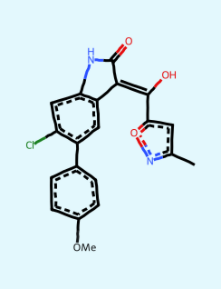 COc1ccc(-c2cc3c(cc2Cl)NC(=O)C3=C(O)c2cc(C)no2)cc1